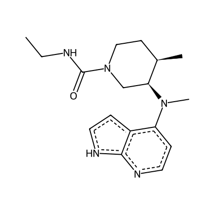 CCNC(=O)N1CC[C@@H](C)[C@@H](N(C)c2ccnc3[nH]ccc23)C1